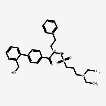 CCN(CC)CCCS(=O)(=O)N[C@H](CCc1ccccc1)C(=O)c1ccc(-c2ccccc2CO)cc1